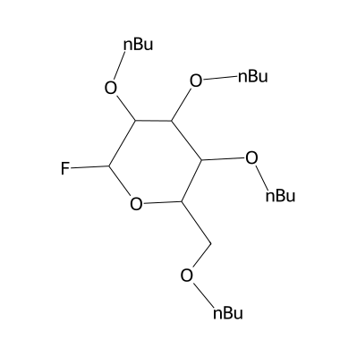 CCCCOCC1OC(F)C(OCCCC)C(OCCCC)C1OCCCC